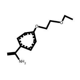 C=C(N)c1ccc(OCCOCC)cc1